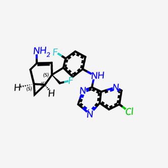 NC1=C[C@](CF)(c2cc(Nc3ncnc4cc(Cl)cnc34)ccc2F)[C@H]2C[C@H]2C1